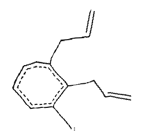 [CH]c1cccc(CC=C)c1CC=C